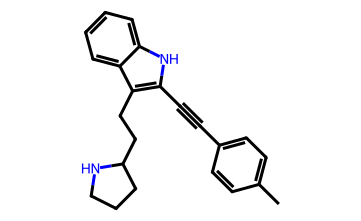 Cc1ccc(C#Cc2[nH]c3ccccc3c2CCC2CCCN2)cc1